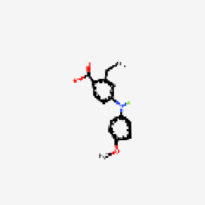 CCc1cc(N(F)c2ccc(OC)cc2)ccc1C(=O)O